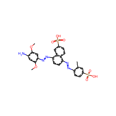 COc1cc(N=Nc2ccc(N=Nc3ccc(S(=O)(=O)O)cc3C)c3ccc(S(=O)(=O)O)cc23)c(OC)cc1N